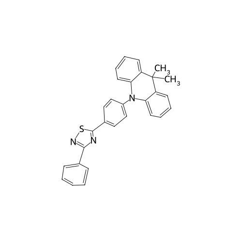 CC1(C)c2ccccc2N(c2ccc(-c3nc(-c4ccccc4)ns3)cc2)c2ccccc21